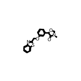 CN1COC(c2cccc(OCc3nc4ccccc4s3)c2)C1=O